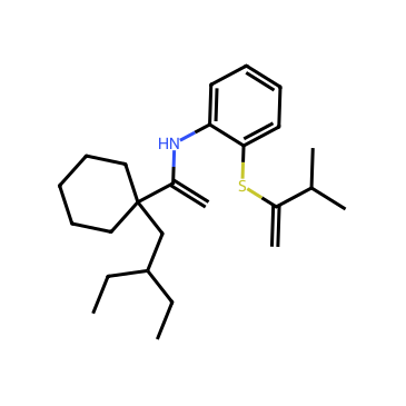 C=C(Sc1ccccc1NC(=C)C1(CC(CC)CC)CCCCC1)C(C)C